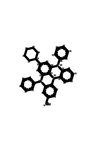 CC(C)(C)c1ccc2c(c1)N(c1ccccc1)c1cc(C3CCCCC3)cc3c1B2c1ccccc1N3c1ccccc1